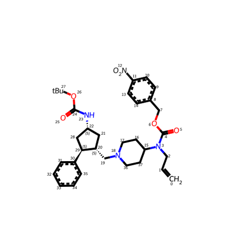 C=CCN(C(=O)OCc1ccc([N+](=O)[O-])cc1)C1CCN(C[C@H]2C[C@@H](NC(=O)OC(C)(C)C)C[C@@H]2c2ccccc2)CC1